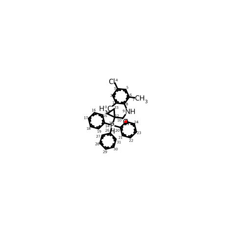 Cc1cc(Cl)cc(C)c1NC(=O)C1([PH](c2ccccc2)(c2ccccc2)c2ccccc2)CC1